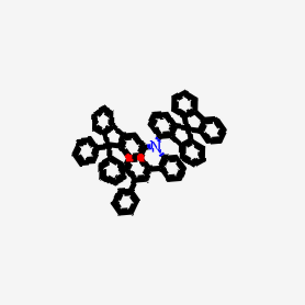 c1ccc(-c2cccc(-c3ccccc3N(c3ccc4c(c3)-c3ccccc3C4(c3ccccc3)c3ccccc3)c3cccc4c3-c3ccccc3C43c4ccccc4-c4ccccc43)c2)cc1